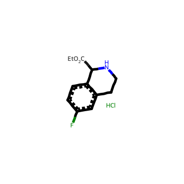 CCOC(=O)C1NCCc2cc(F)ccc21.Cl